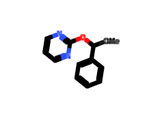 COC(Oc1ncccn1)c1ccccc1